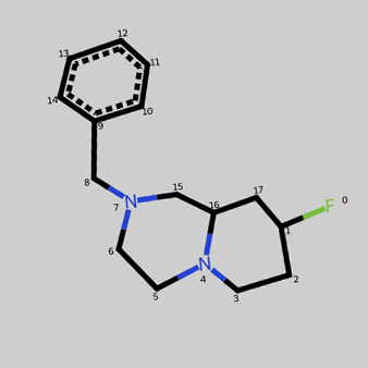 FC1CCN2CCN(Cc3ccccc3)CC2C1